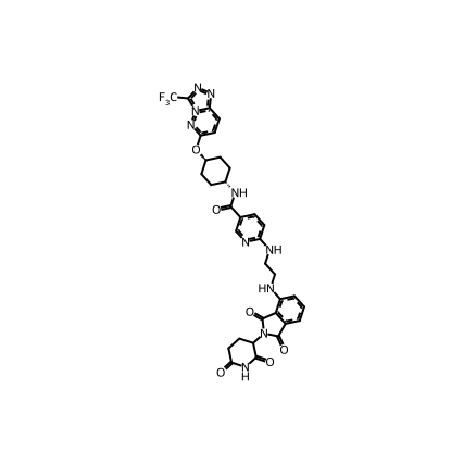 O=C1CCC(N2C(=O)c3cccc(NCCNc4ccc(C(=O)N[C@H]5CC[C@H](Oc6ccc7nnc(C(F)(F)F)n7n6)CC5)cn4)c3C2=O)C(=O)N1